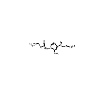 CCOC(=O)Nc1ccc(NCCO)cc1O